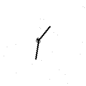 CCCCCCCCCCCCCCCCCCOP(=O)(CCCCCCCCCCCCCCCCCC)OC